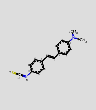 CN(C)c1ccc(/C=C/c2ccc(N=C=S)cc2)cc1